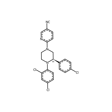 [C-]#[N+]c1ccc(N2CCN(c3ccc(Cl)cc3Cl)[C@H](c3ccc(Cl)cc3)C2)nc1